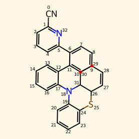 N#Cc1cccc(-c2ccccc2-c2ccccc2N2c3ccccc3SC3C=CCCC32)n1